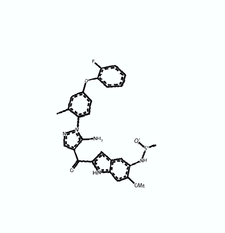 COc1cc2[nH]c(C(=O)c3cnn(-c4ccc(Oc5ccccc5F)cc4C)c3N)cc2cc1N[S+](C)[O-]